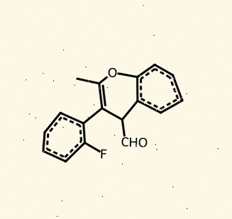 CC1=C(c2ccccc2F)C(C=O)c2ccccc2O1